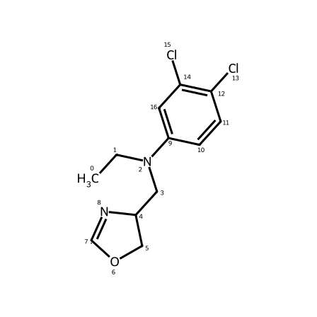 CCN(CC1CO[C]=N1)c1ccc(Cl)c(Cl)c1